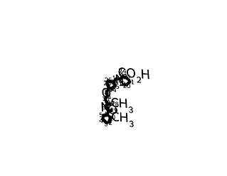 Cc1ccccc1-c1nc(CCOc2ccc(CN3CCCC[C@H]3C(=O)O)cc2)c(C)o1